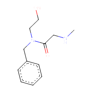 CNCC(=O)N(CCO)Cc1ccccc1